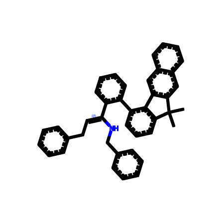 CC1(C)c2cc3ccccc3cc2-c2c(-c3ccccc3/C(=C/Cc3ccccc3)NCc3ccccc3)cccc21